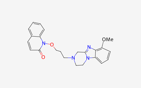 COc1cccc2c1nc1n2CCN(CCCOn2c(=O)ccc3ccccc32)C1